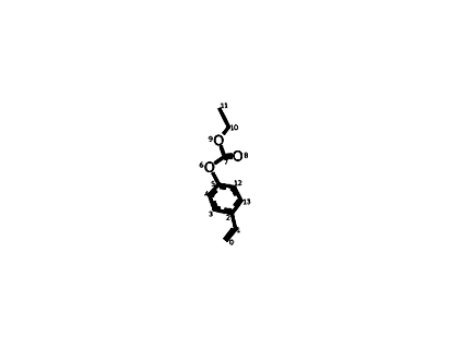 C=Cc1ccc(OC(=O)OCC)cc1